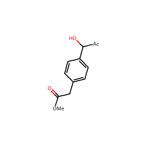 COC(=O)Cc1ccc(C(O)C(C)=O)cc1